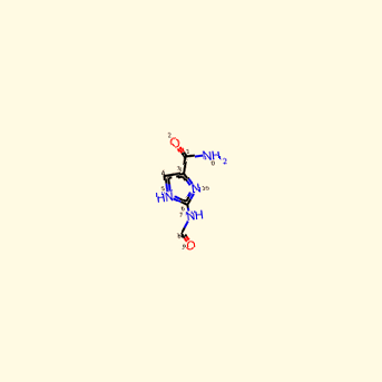 NC(=O)c1c[nH]c(NC=O)n1